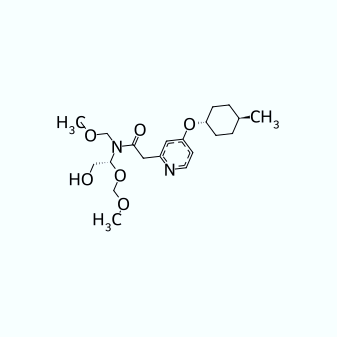 COCO[C@H](CO)N(COC)C(=O)Cc1cc(O[C@H]2CC[C@H](C)CC2)ccn1